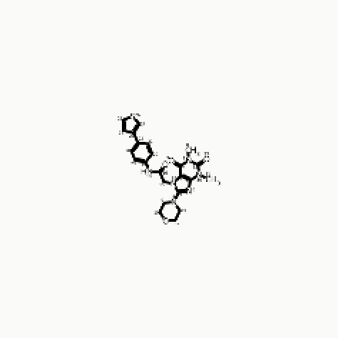 Cn1c(=O)c2c(nc(N3CCOCC3)n2CC(=O)Nc2ccc(-c3ccsc3)cc2)n(C)c1=O